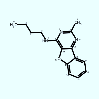 CCCCNc1nc(C)nc2c1oc1ccccc12